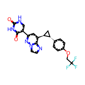 O=c1[nH]cc(-c2cc([C@H]3C[C@@H]3c3ccc(OCC(F)(F)F)cc3)c3nccn3n2)c(=O)[nH]1